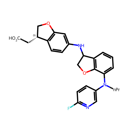 CCCN(c1ccc(F)nc1)c1cccc2c1OCC2Nc1ccc2c(c1)OC[C@H]2CC(=O)O